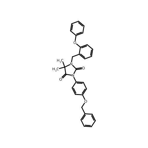 CC1(C)C(=O)N(c2ccc(OCc3ccccc3)cc2)C(=O)N1Cc1ccccc1Oc1ccccc1